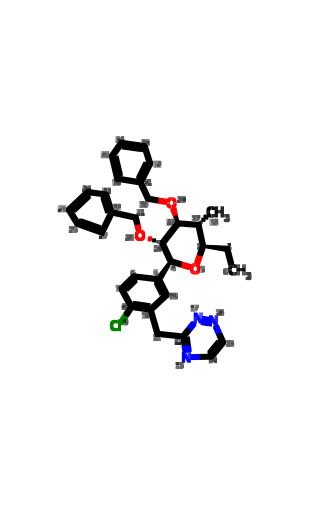 CC[C@H]1O[C@@H](c2ccc(Cl)c(Cc3nccnn3)c2)[C@H](OCc2ccccc2)[C@@H](OCc2ccccc2)[C@@H]1C